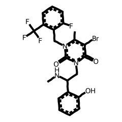 CNC(Cn1c(=O)c(Br)c(C)n(Cc2c(F)cccc2C(F)(F)F)c1=O)c1ccccc1O